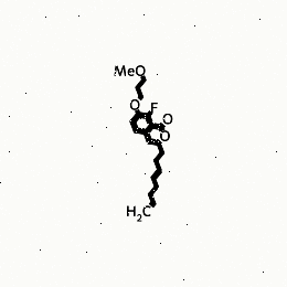 C=CCC/C=C/CCc1cc2ccc(OCCCOC)c(F)c2c(=O)o1